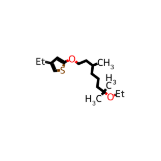 CCOC(C)(C)CCCC(C)CCOc1cc(CC)cs1